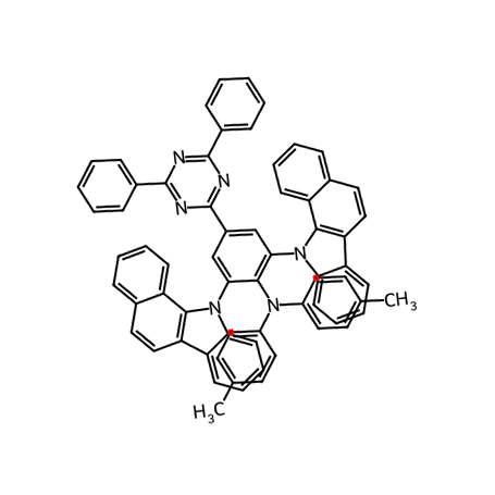 Cc1ccc(N(c2ccc(C)cc2)c2c(-n3c4ccccc4c4ccc5ccccc5c43)cc(-c3nc(-c4ccccc4)nc(-c4ccccc4)n3)cc2-n2c3ccccc3c3ccc4ccccc4c32)cc1